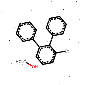 CCc1cccc(-c2ccccc2)c1-c1ccccc1.O=C(O)O